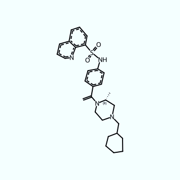 C=C(c1ccc(NS(=O)(=O)c2cccc3cccnc23)cc1)N1CCN(CC2CCCCC2)C[C@H]1C